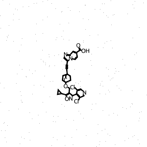 O=C(O)c1ccn2c(C#CC34CCC(OCc5c(-c6c(Cl)cncc6Cl)noc5C5CC5)(CC3)CC4)cnc2c1